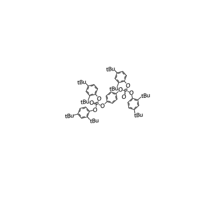 CC(C)(C)c1ccc(OP(=O)(Oc2ccc(OP(=O)(Oc3ccc(C(C)(C)C)cc3C(C)(C)C)Oc3ccc(C(C)(C)C)cc3C(C)(C)C)cc2)Oc2ccc(C(C)(C)C)cc2C(C)(C)C)c(C(C)(C)C)c1